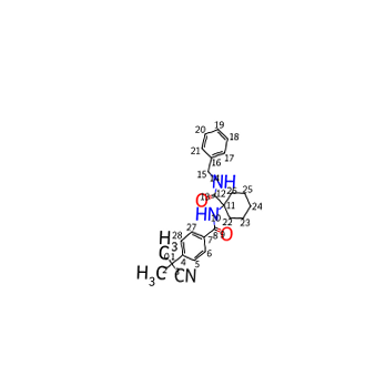 CC(C)(C#N)c1ccc(C(=O)NC2(C(=O)NCc3ccccc3)CCCCC2)cc1